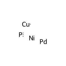 [Cu].[Ni].[P].[Pd]